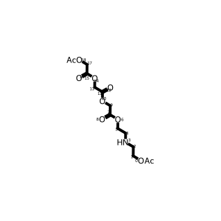 CC(=O)OCCNCCOC(=O)COC(=O)COC(=O)COC(C)=O